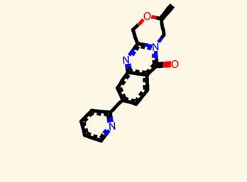 C=C1Cn2c(nc3cc(-c4ccccn4)ccc3c2=O)CO1